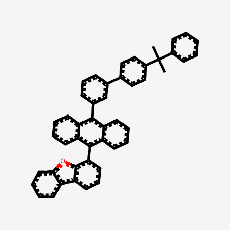 CC(C)(c1ccccc1)c1ccc(-c2cccc(-c3c4ccccc4c(-c4cccc5c4oc4ccccc45)c4ccccc34)c2)cc1